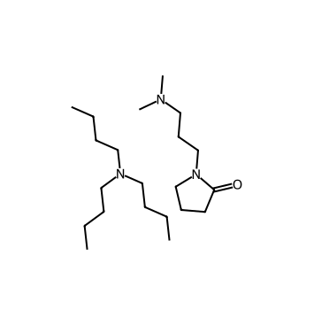 CCCCN(CCCC)CCCC.CN(C)CCCN1CCCC1=O